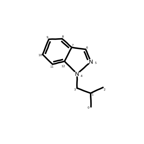 CC(C)Cn1ncc2ccccc21